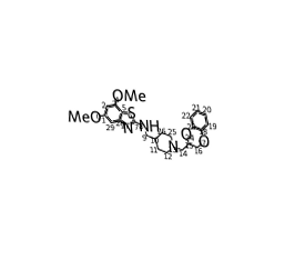 COc1cc(OC)c2sc(NCC3CCN(CC4COc5ccccc5O4)CC3)nc2c1